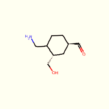 NCC1CC[C@@H]([C]=O)C[C@@H]1CO